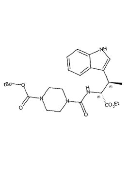 CCOC(=O)[C@H](NC(=O)N1CCN(C(=O)OC(C)(C)C)CC1)[C@H](C)c1c[nH]c2ccccc12